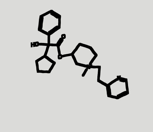 C[N+]1(CCc2ccccn2)CCCC(OC(=O)C(O)(c2ccccc2)C2CCCC2)C1